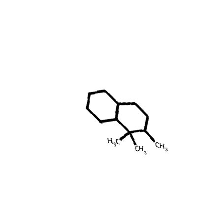 CC1CCC2CCCCC2C1(C)C